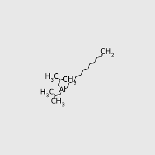 C=CCCCCCCCCC[CH2][Al]([CH2]C(C)C)[CH2]C(C)C